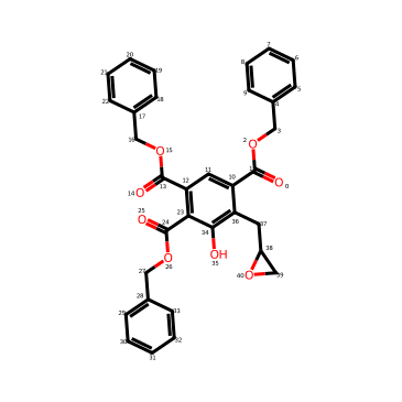 O=C(OCc1ccccc1)c1cc(C(=O)OCc2ccccc2)c(C(=O)OCc2ccccc2)c(O)c1CC1CO1